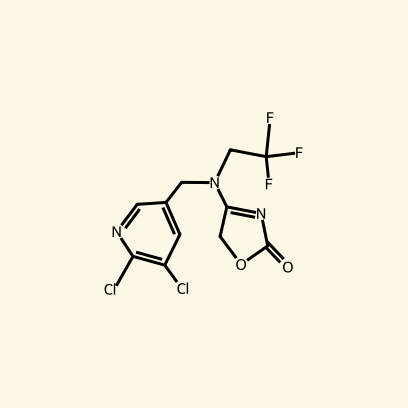 O=C1N=C(N(Cc2cnc(Cl)c(Cl)c2)CC(F)(F)F)CO1